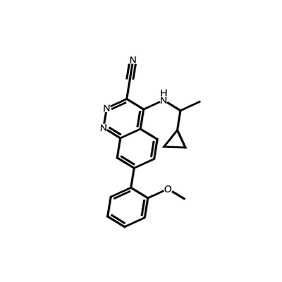 COc1ccccc1-c1ccc2c(NC(C)C3CC3)c(C#N)nnc2c1